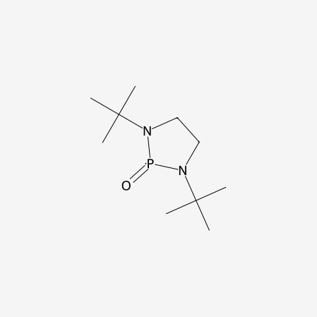 CC(C)(C)N1CCN(C(C)(C)C)[P]1=O